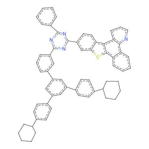 c1ccc(-c2nc(-c3cccc(-c4cc(-c5ccc(C6CCCCC6)cc5)cc(-c5ccc(C6CCCCC6)cc5)c4)c3)nc(-c3ccc4c(c3)sc3c5ccccc5c5ncccc5c43)n2)cc1